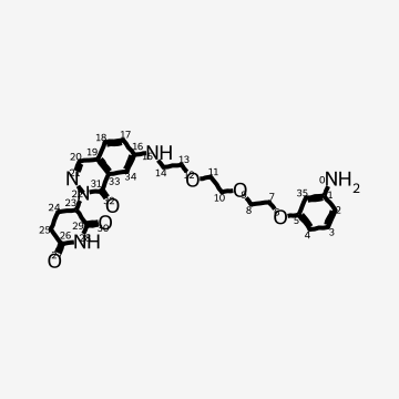 Nc1cccc(OCCOCCOCCNc2ccc3cnn(C4CCC(=O)NC4=O)c(=O)c3c2)c1